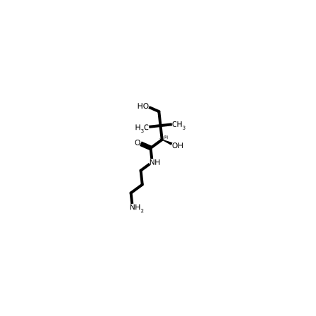 CC(C)(CO)[C@@H](O)C(=O)NCCCN